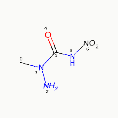 CN(N)C(=O)N[N+](=O)[O-]